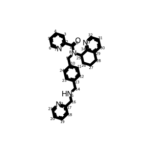 O=C(c1ccccn1)N(Cc1ccc(CNCc2ccccn2)cc1)C1CCCc2cccnc21